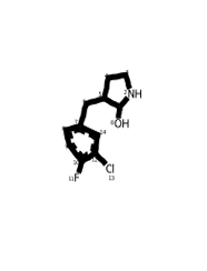 OC1NCCC1Cc1ccc(F)c(Cl)c1